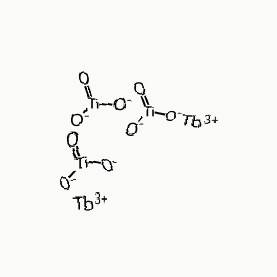 [O]=[Ti]([O-])[O-].[O]=[Ti]([O-])[O-].[O]=[Ti]([O-])[O-].[Tb+3].[Tb+3]